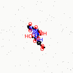 CC(=O)OCc1ccc(NC(=O)[C@H](CC(=O)O)NC(=O)[C@H](CO)NC(=O)[C@H](C)NC(=O)CCN2C(=O)C=CC2=O)cc1